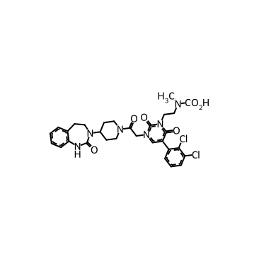 CN(CCn1c(=O)c(-c2cccc(Cl)c2Cl)cn(CC(=O)N2CCC(N3CCc4ccccc4NC3=O)CC2)c1=O)C(=O)O